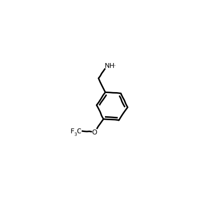 [NH]Cc1cccc(OC(F)(F)F)c1